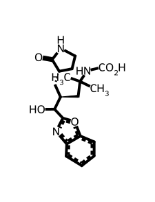 CC(C)(C[C@H](C[C@H]1CCNC1=O)C(O)c1nc2ccccc2o1)NC(=O)O